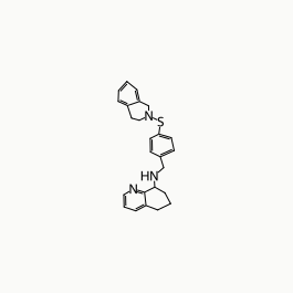 c1ccc2c(c1)CCN(Sc1ccc(CNC3CCCc4cccnc43)cc1)C2